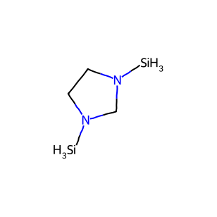 [SiH3]N1CCN([SiH3])C1